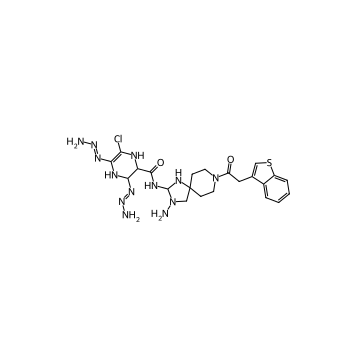 NN=NC1=C(Cl)NC(C(=O)NC2NC3(CCN(C(=O)Cc4csc5ccccc45)CC3)CN2N)C(N=NN)N1